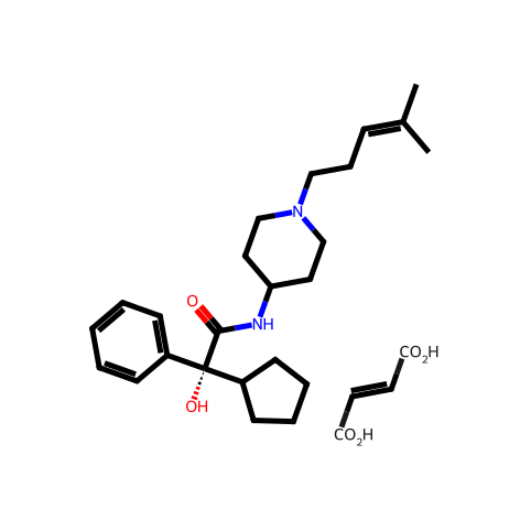 CC(C)=CCCN1CCC(NC(=O)[C@](O)(c2ccccc2)C2CCCC2)CC1.O=C(O)/C=C/C(=O)O